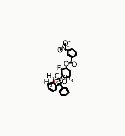 CC(C)(C)[Si](OC1CCC(OC(=O)c2cccc([N+](=O)[O-])c2)C(F)C1)(c1ccccc1)c1ccccc1